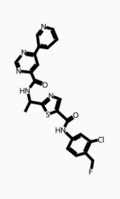 CC(NC(=O)c1cc(-c2cccnc2)ncn1)c1ncc(C(=O)Nc2ccc(CF)c(Cl)c2)s1